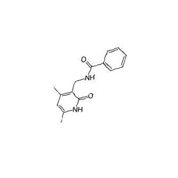 Cc1cc(C)c(CNC(=O)c2ccccc2)c(=O)[nH]1